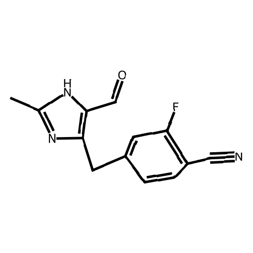 Cc1nc(Cc2ccc(C#N)c(F)c2)c(C=O)[nH]1